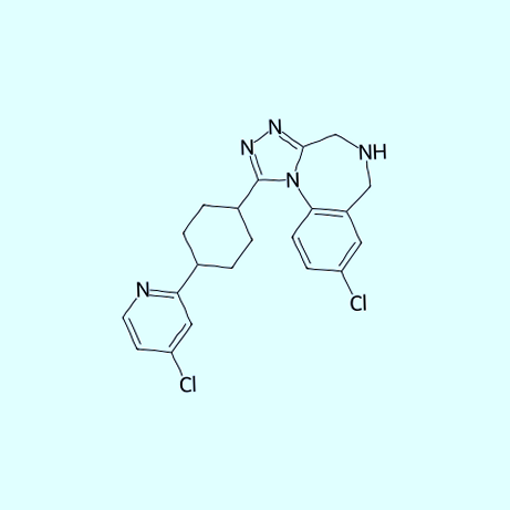 Clc1ccnc(C2CCC(c3nnc4n3-c3ccc(Cl)cc3CNC4)CC2)c1